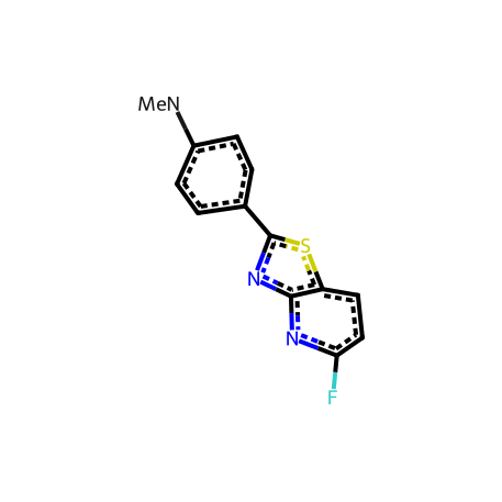 CNc1ccc(-c2nc3nc(F)ccc3s2)cc1